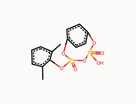 Cc1cccc(C)c1OP1(=O)Oc2ccc(cc2)OP(=O)(O)O1